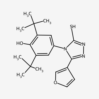 CC(C)(C)c1cc(-n2c(S)nnc2-c2ccoc2)cc(C(C)(C)C)c1O